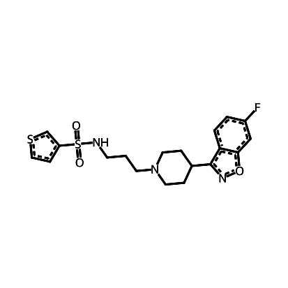 O=S(=O)(NCCCN1CCC(c2noc3cc(F)ccc23)CC1)c1ccsc1